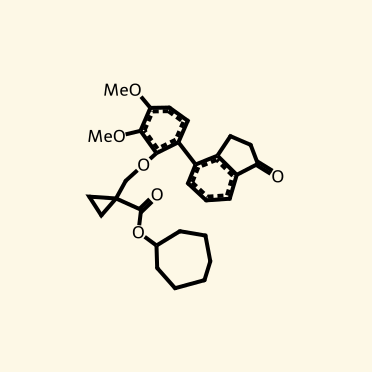 COc1ccc(-c2cccc3c2CCC3=O)c(OCC2(C(=O)OC3CCCCCC3)CC2)c1OC